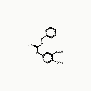 COc1ccc(NC(=O)OCc2ccccc2)cc1S(=O)(=O)O.[KH]